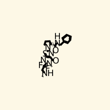 CNCC(F)(F)c1nc2sc(N3CCC[C@@H]3C(=O)NCc3ccccc3)nc2c(=O)n1C